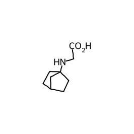 O=C(O)CNC12CCC(CC1)C2